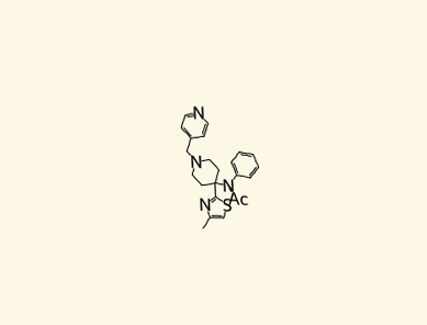 CC(=O)N(c1ccccc1)C1(c2nc(C)cs2)CCN(Cc2ccncc2)CC1